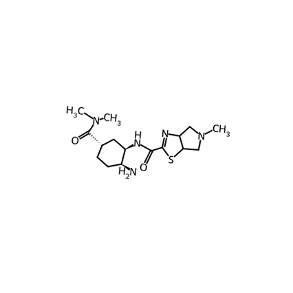 CN1CC2N=C(C(=O)N[C@@H]3C[C@@H](C(=O)N(C)C)CC[C@@H]3N)SC2C1